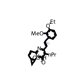 CCCc1c(/C=C/c2cccc(OCC)c2OC)nc2n(c1=O)C1CC1(C(=O)O)C=C2